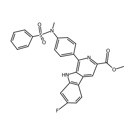 COC(=O)c1cc2c([nH]c3cc(F)ccc32)c(-c2ccc(N(C)S(=O)(=O)c3ccccc3)cc2)n1